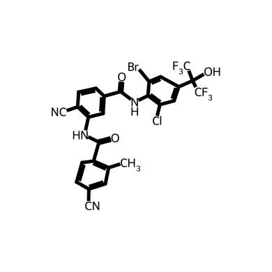 Cc1cc(C#N)ccc1C(=O)Nc1cc(C(=O)Nc2c(Cl)cc(C(O)(C(F)(F)F)C(F)(F)F)cc2Br)ccc1C#N